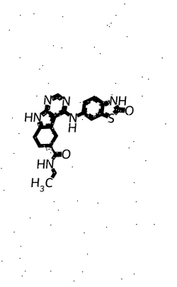 CCNC(=O)[C@H]1CCc2[nH]c3ncnc(Nc4ccc5[nH]c(=O)sc5c4)c3c2C1